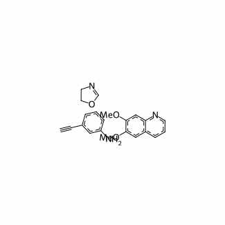 C#Cc1cccc(N)c1.C1=NCCO1.COc1cc2cccnc2cc1OC